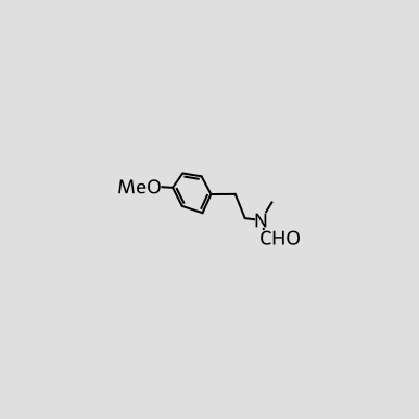 COc1ccc(CCN(C)C=O)cc1